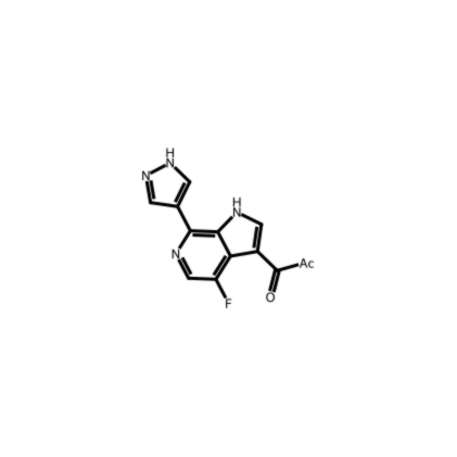 CC(=O)C(=O)c1c[nH]c2c(-c3cn[nH]c3)ncc(F)c12